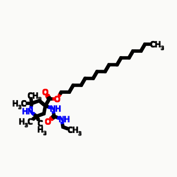 CCCCCCCCCCCCCCCCOC(=O)C1(NC(=O)NCC)CC(C)(C)NC(C)(C)C1